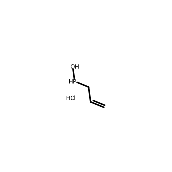 C=CCPO.Cl